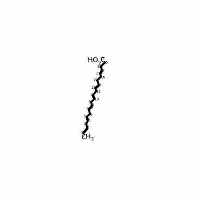 CC=CCC=CCC=CCC=CCC=CCCC=CCCC(=O)O